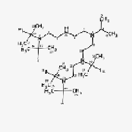 CC(C)N(CCNCCN(C(C)(C)I)C(C)(C)I)CCN(CCN(C(C)(C)I)C(C)(C)I)C(C)(C)I